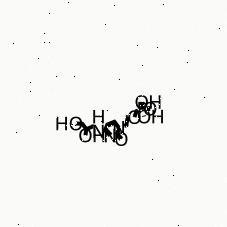 O=c1nc(NCC(O)CO)ccn1CCOCP(=O)(O)O